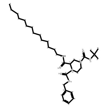 CCCCCCCCCCCCCCNC(=O)C1CN(C(=O)OC(C)(C)C)CCN1C(=O)OCc1ccccc1